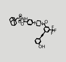 O=C(NS(=O)(=O)CC12CC3CC(CC(C3)C1)C2)c1ccc(N2CCN(C(=O)c3cc(C#Cc4cccc(O)c4)cc(C(F)(F)F)c3)CC2)cc1